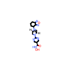 O=C(NO)c1cnc(N2C[C@@H]3C[C@H]2CN3c2cccc3nonc23)nc1